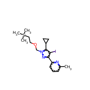 Cc1cccc(-c2nn(COCC[Si](C)(C)C)c(C3CC3)c2I)n1